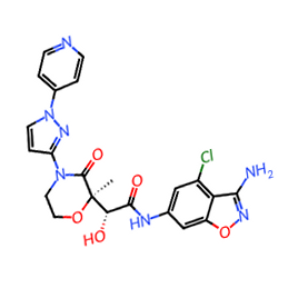 C[C@]1([C@@H](O)C(=O)Nc2cc(Cl)c3c(N)noc3c2)OCCN(c2ccn(-c3ccncc3)n2)C1=O